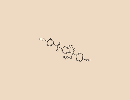 COC(OC)(c1ccc(O)cc1)c1ccc(S(=O)(=O)c2ccc(C)cc2)cc1